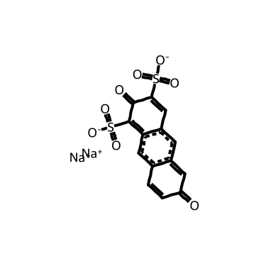 O=C1C=Cc2cc3c(cc2=C1)C=C(S(=O)(=O)[O-])C(=O)C=3S(=O)(=O)[O-].[Na+].[Na+]